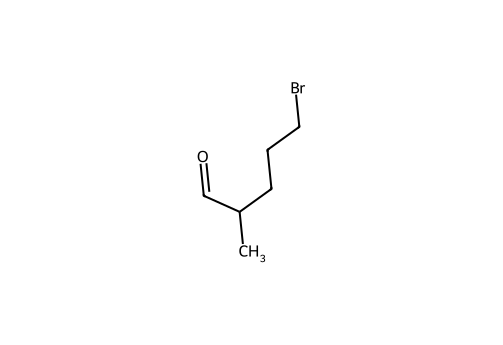 CC(C=O)CCCBr